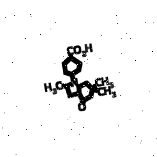 CC1CC2C(=O)CC(C)(C)CC2N1C1CCC(C(=O)O)CC1